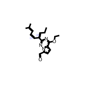 CC/C=C(/C=C\C=C(C)C)c1nc(OCC)c2ccc(C=O)n2n1